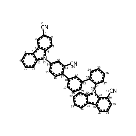 N#Cc1ccc2c(c1)c1ccccc1n2-c1ccc(-c2cccc(-c3ccccc3-n3c4ccccc4c4cccc(C#N)c43)c2)c(C#N)c1